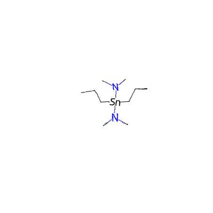 CC[CH2][Sn]([CH2]CC)([N](C)C)[N](C)C